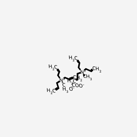 C=CC[N+](C)(CC=C)CC=C.C=CC[N+](C)(CC=C)CC=C.O=C([O-])[O-]